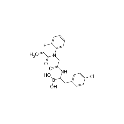 C=CC(=O)N(CC(=O)NC(Cc1ccc(Cl)cc1)B(O)O)c1ccccc1F